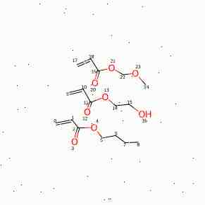 C=CC(=O)OCCCC.C=CC(=O)OCCO.C=CC(=O)OCOC